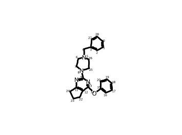 c1ccc(CN2CCN(c3nc4c(c(Oc5ccccc5)n3)CCC4)CC2)cc1